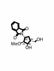 CO[C@@H]1[C@H](O)[C@@H](CO)C[C@H]1N1C(=O)c2ccccc2C1=O